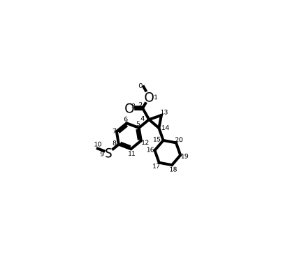 COC(=O)C1(c2ccc(SC)cc2)CC1C1CCCCC1